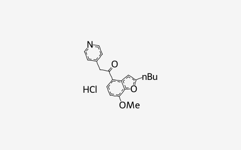 CCCCc1cc2c(C(=O)Cc3ccncc3)ccc(OC)c2o1.Cl